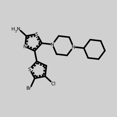 Nc1nc(-c2cc(Cl)c(Br)s2)c(N2CCN(C3CCCCC3)CC2)s1